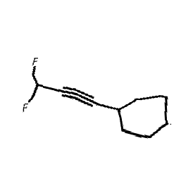 FC(F)C#CC1CC[CH]CC1